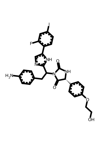 Nc1ccc(CC(c2ncc(-c3ccc(I)cc3F)[nH]2)N2C(=O)N[C@H](c3ccc(OCCO)cc3)C2=O)cc1